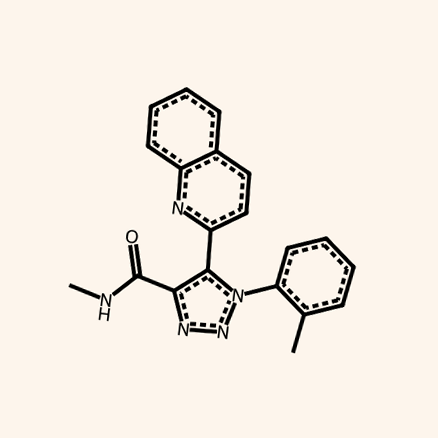 CNC(=O)c1nnn(-c2ccccc2C)c1-c1ccc2ccccc2n1